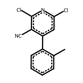 Cc1ccccc1-c1cc(Cl)nc(Cl)c1C#N